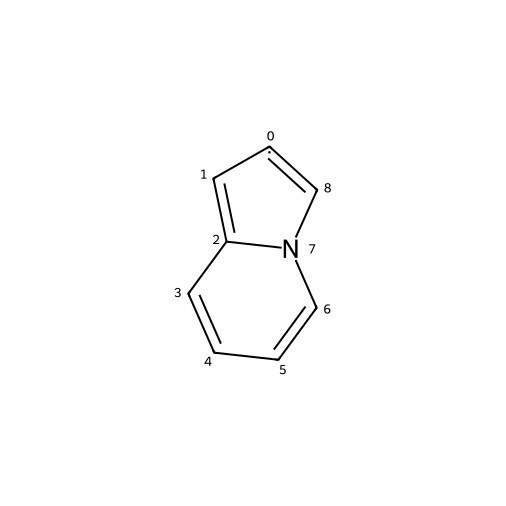 [c]1cc2ccccn2c1